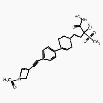 CC(=O)N1CC(C#Cc2ccc(C3=CCN(CCC(C)(C(=O)NO)S(C)(=O)=O)CC3)cc2)C1